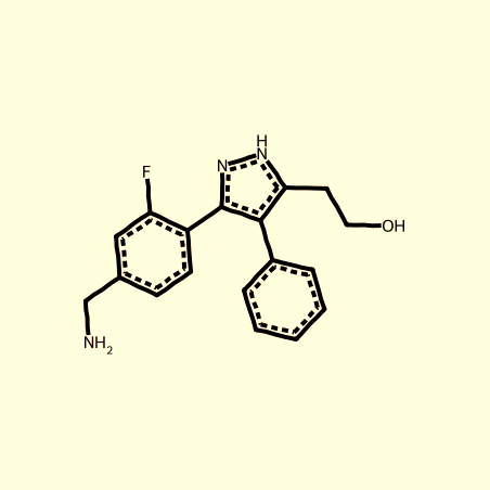 NCc1ccc(-c2n[nH]c(CCO)c2-c2ccccc2)c(F)c1